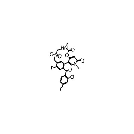 CCS(=O)(=O)Cc1cc(-c2cn(C)c(=O)cc2OC(=O)NC)c(C(=O)c2ccc(F)cc2Cl)cc1F